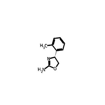 Cc1ccccc1[C@@H]1COC(N)=N1